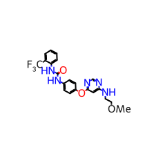 COCCNc1cc(Oc2ccc(NC(=O)Nc3ccccc3C(F)(F)F)cc2)ncn1